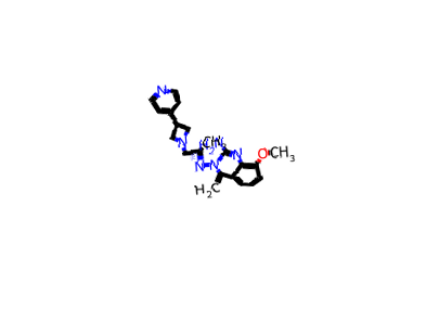 C=C1c2cccc(OC)c2N=C(N)N1/N=C(\C)CN1CC(c2ccncc2)C1